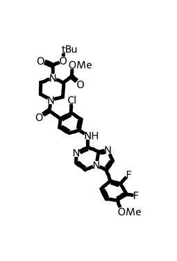 COC(=O)C1CN(C(=O)c2ccc(Nc3nccn4c(-c5ccc(OC)c(F)c5F)cnc34)cc2Cl)CCN1C(=O)OC(C)(C)C